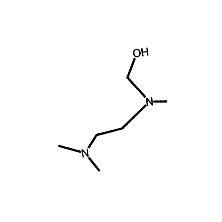 CN(C)CCN(C)CO